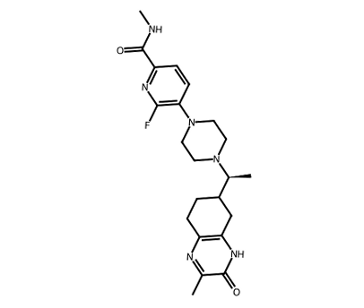 CNC(=O)c1ccc(N2CCN([C@@H](C)C3CCc4nc(C)c(=O)[nH]c4C3)CC2)c(F)n1